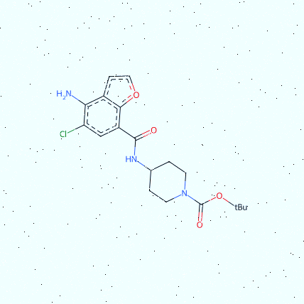 CC(C)(C)OC(=O)N1CCC(NC(=O)c2cc(Cl)c(N)c3ccoc23)CC1